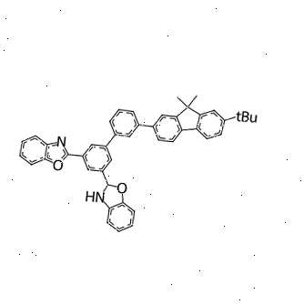 CC(C)(C)c1ccc2c(c1)C(C)(C)c1cc(-c3cccc(-c4cc(-c5nc6ccccc6o5)cc(C5Nc6ccccc6O5)c4)c3)ccc1-2